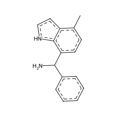 Cc1ccc(C(N)c2ccccc2)c2[nH]ccc12